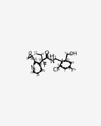 O=C(NCc1c(Cl)cc(F)cc1CO)[C@]1(F)CC[C@@]2(CO2)c2ncccc21